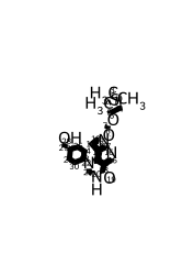 C[Si](C)(C)CCOCOn1ccc2c3c(cnc21)C(=O)NCN3[C@H]1CC[C@H](CO)CC1